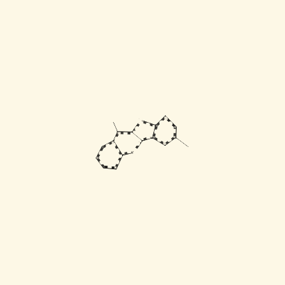 Cc1ccc2nc3c(Cl)c4ccccc4[nH]c-3c2c1